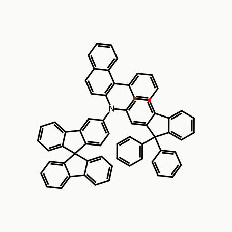 c1ccc(-c2c(N(c3ccc4c(c3)-c3ccccc3C43c4ccccc4-c4ccccc43)c3ccc4c(c3)C(c3ccccc3)(c3ccccc3)c3ccccc3-4)ccc3ccccc23)cc1